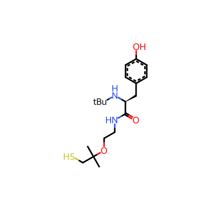 CC(C)(C)N[C@@H](Cc1ccc(O)cc1)C(=O)NCCOC(C)(C)CS